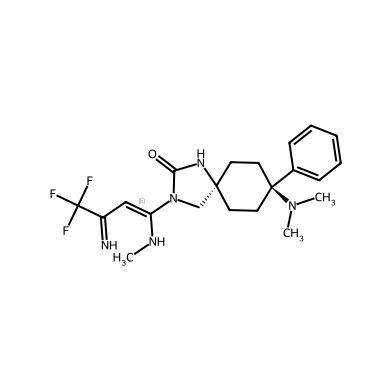 CN/C(=C\C(=N)C(F)(F)F)N1C[C@]2(CC[C@](c3ccccc3)(N(C)C)CC2)NC1=O